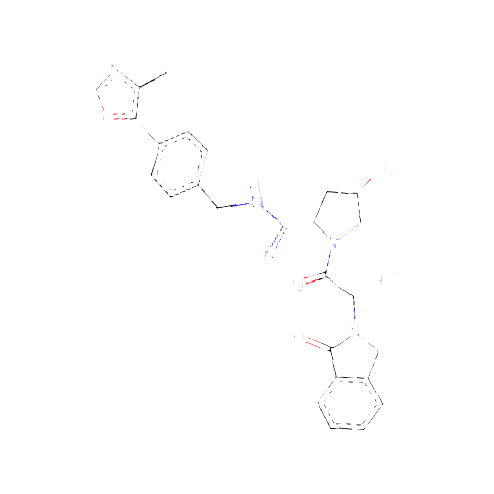 Cc1ncoc1-c1ccc(CNC(=N)[C@@H]2C[C@@H](O)CN2C(=O)[C@H](C(C)C)N2Cc3ccccc3C2=O)cc1